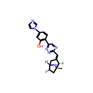 C[C@]12C[C@@H](F)[C@H](C/C(=C\c3ncc(-c4ccc(-n5ccnc5)cc4O)nn3)[C@@H]1F)N2